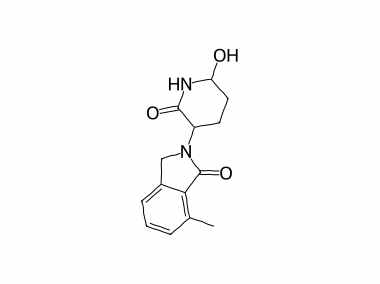 Cc1cccc2c1C(=O)N(C1CCC(O)NC1=O)C2